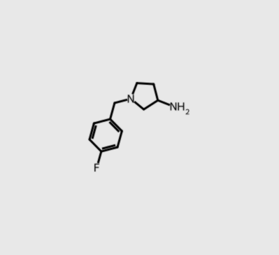 NC1CCN(Cc2ccc(F)cc2)C1